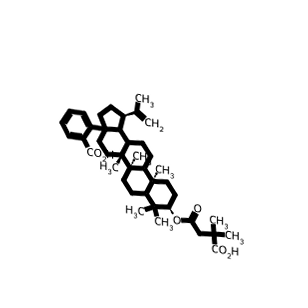 C=C(C)[C@@H]1CCC2(c3ccccc3C(=O)O)CC[C@]3(C)C(CCC4[C@@]5(C)CC[C@H](OC(=O)CC(C)(C)C(=O)O)C(C)(C)C5CC[C@]43C)C12